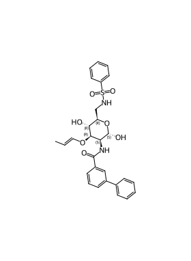 CC=CO[C@H]1[C@H](O)[C@@H](CNS(=O)(=O)c2ccccc2)O[C@H](O)[C@H]1NC(=O)c1cccc(-c2ccccc2)c1